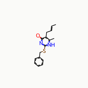 C/C=C/Cc1c(C)[nH]c(SCc2ccccc2)nc1=O